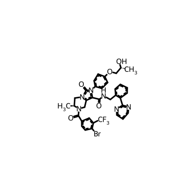 C[C@@H](O)COc1ccc(-n2c(C(=O)NCc3ccccc3-c3ncccn3)c3n(c2=O)C[C@H](C)N(C(=O)c2ccc(Br)c(C(F)(F)F)c2)C3)cc1